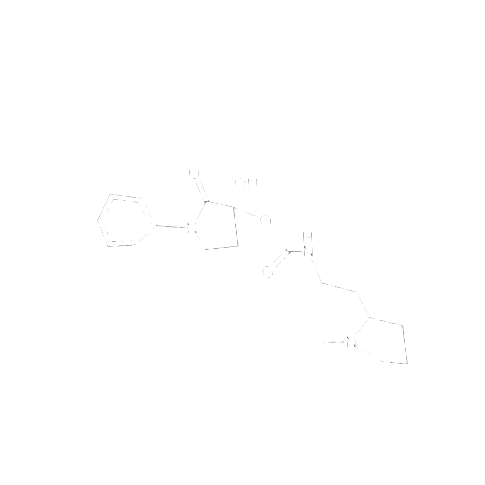 CN1CCCC1CCNC(=O)O[C@@]1(O)CCN(c2ccccc2)C1=O